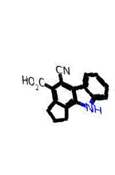 N#Cc1c(C(=O)O)c2c(c3[nH]c4ccccc4c13)CCC2